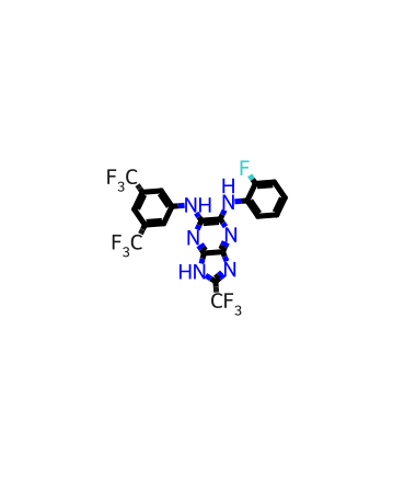 Fc1ccccc1Nc1nc2nc(C(F)(F)F)[nH]c2nc1Nc1cc(C(F)(F)F)cc(C(F)(F)F)c1